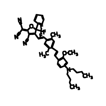 CCCCN(CCCC)c1ccc(/C=C/c2cc(C)c(/C=C/C3=C(C#N)C(=C(C#N)C#N)OC3(c3ccccc3)C(F)(F)F)cc2C)c(OC)c1